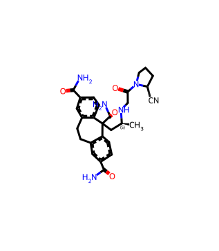 C[C@@H](CC1(C(N)=O)c2ccc(C(N)=O)cc2CCc2cc(C(N)=O)ccc21)NCC(=O)N1CCCC1C#N